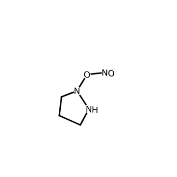 O=NON1CCCN1